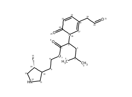 CC(C)CC(C(=O)OCCC1CNC[C@@H]1F)n1cc(CC=O)ccc1=O